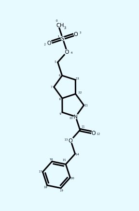 CS(=O)(=O)OCC1CC2CN(C(=O)OCc3ccccc3)CC2C1